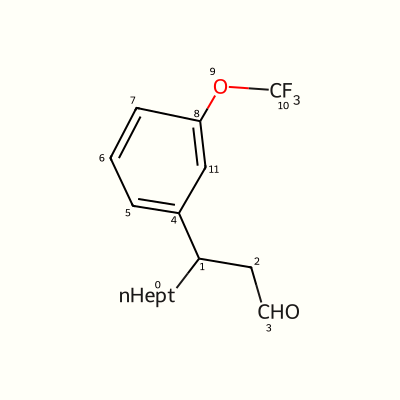 CCCCCCCC(CC=O)c1cccc(OC(F)(F)F)c1